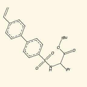 C=Cc1ccc(-c2ccc(S(=O)(=O)NC(C(=O)OC(C)(C)C)C(C)C)cc2)cc1